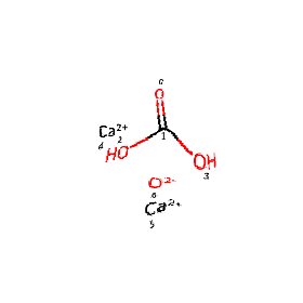 O=C(O)O.[Ca+2].[Ca+2].[O-2]